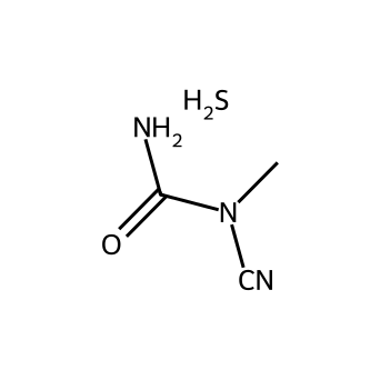 CN(C#N)C(N)=O.S